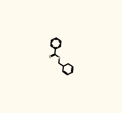 S=C(SCC1C=CC=CC1)c1ccccc1